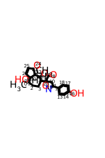 C[C@H]1CC[C@@H]2[C@@H](OC(=O)C23CC(c2ccc(O)cc2)=NO3)[C@]2(C)C(=O)C=C[C@@]12O